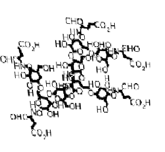 O=C[C@H](CCC(=O)O)NOC1OC(COC2CC(CO)C(ON[C@H](C=O)CCC(=O)O)C(O)C2O)C(OC2OC(CO)C(OC3OC(COC4CC(CO)C(ON[C@H](C=O)CCC(=O)O)C(O)C4O)C(OC4OC(CO)C(OC5OC(COC6OC(CO)C(ON[C@H](C=O)CCC(=O)O)C(O)C6O)C(ON[C@H](C=O)CCC(=O)O)C(O)C5O)C(O)C4O)C(O)C3O)C(O)C2O)C(O)C1O